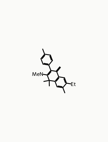 C=C1C(c2ccc(C)cc2)=C(NC)C(C)(C)c2cc(C)c(CC)cc21